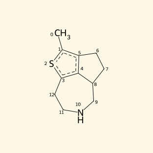 Cc1sc2c3c1CCC3CNCC2